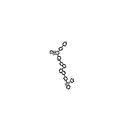 C1=C(c2ccc(-c3ccc4c(-c5cccc6cc(-c7ccc(-c8nc9ccccc9n8-c8ccccc8)cc7)ccc56)cccc4c3)cc2)NC(c2ccccc2)NC1c1ccc(-c2ccccc2)cc1